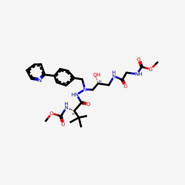 COC(=O)NCC(=O)NC[C@@H](O)CN(Cc1ccc(-c2ccccn2)cc1)NC(=O)[C@@H](NC(=O)OC)C(C)(C)C